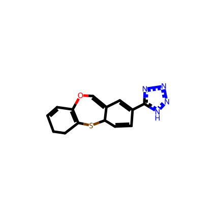 C1=CC2=C(CC1)SC1C=CC(c3nnn[nH]3)=CC1=CO2